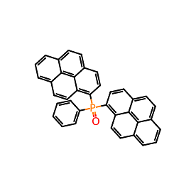 O=P(c1ccccc1)(c1ccc2ccc3cccc4ccc1c2c34)c1ccc2ccc3cccc4ccc1c2c34